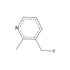 Cc1ncccc1CI